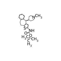 CN1CCC(=C2c3ccccc3CCc3sc(NC(=O)OC(C)(C)C)cc32)CC1